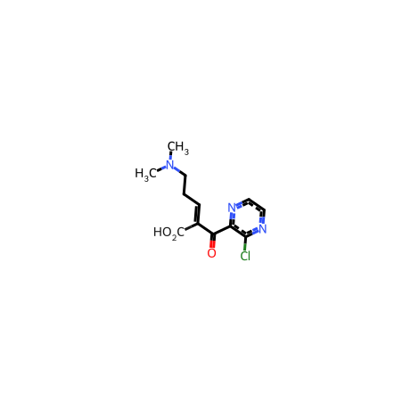 CN(C)CCC=C(C(=O)O)C(=O)c1nccnc1Cl